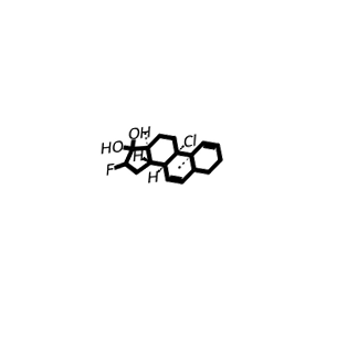 C[C@]12CC[C@]3(Cl)[C@@H](C=CC4CCC=C[C@@]43C)[C@@H]1CC(F)C2(O)O